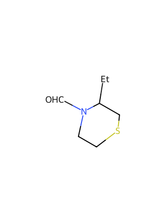 CCC1CSCCN1C=O